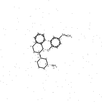 CSc1ccc(O[C@H]2c3ccccc3CC[C@@H]2N2CCC[C@@H](N)C2)cc1